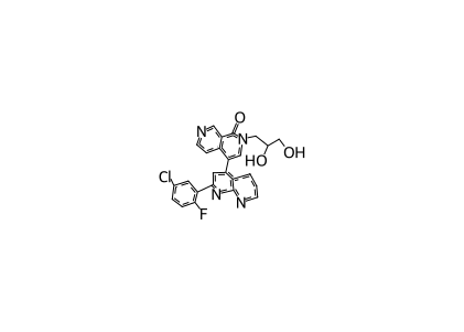 O=c1c2cnccc2c(-c2cc(-c3cc(Cl)ccc3F)nc3ncccc23)cn1CC(O)CO